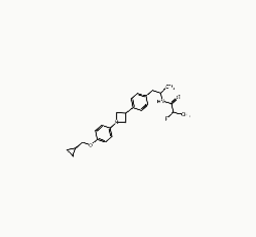 CC(Cc1ccc(C2CN(c3ccc(OCC4CC4)cc3)C2)cc1)NC(=O)C(C)F